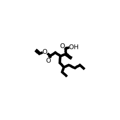 C=COC(=O)CC(CC(CC)CCCC)C(=C)C(=O)O